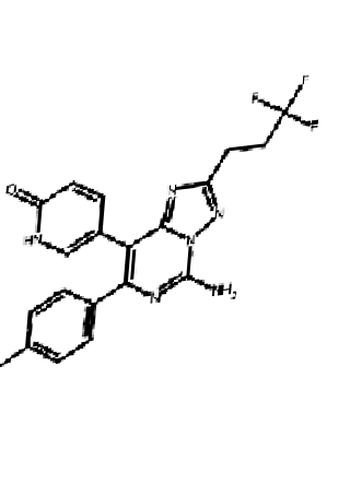 Nc1nc(-c2ccc(F)cc2)c(-c2ccc(=O)[nH]c2)c2nc(CCC(F)(F)F)nn12